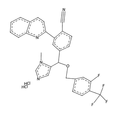 Cl.Cl.Cn1cncc1C(OCc1ccc(C(F)(F)F)c(F)c1)c1ccc(C#N)c(-c2ccc3ccccc3n2)c1